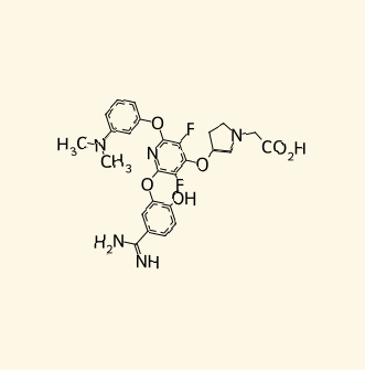 CN(C)c1cccc(Oc2nc(Oc3cc(C(=N)N)ccc3O)c(F)c(OC3CCN(CC(=O)O)C3)c2F)c1